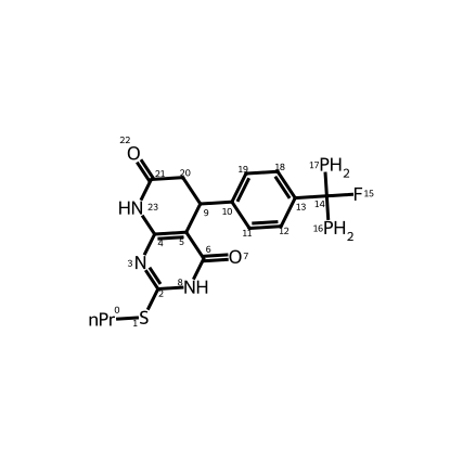 CCCSc1nc2c(c(=O)[nH]1)C(c1ccc(C(F)(P)P)cc1)CC(=O)N2